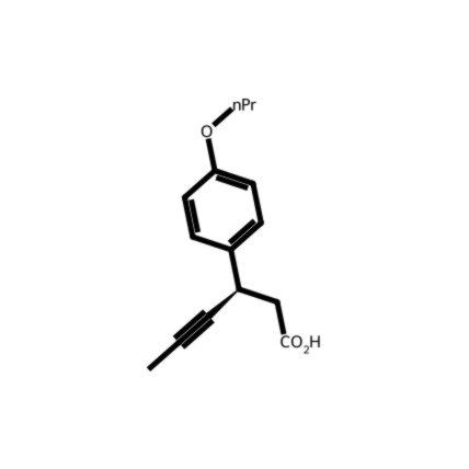 CC#C[C@H](CC(=O)O)c1ccc(OCCC)cc1